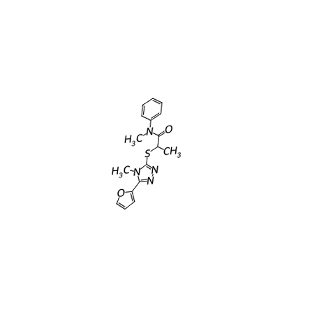 CC(Sc1nnc(-c2ccco2)n1C)C(=O)N(C)c1ccccc1